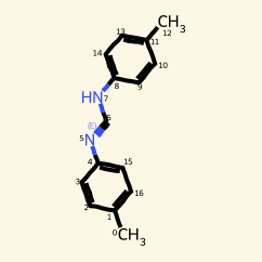 Cc1ccc(/N=C/Nc2ccc(C)cc2)cc1